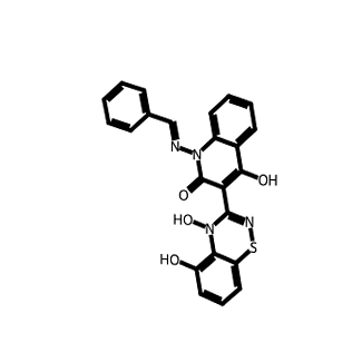 O=c1c(C2=NSc3cccc(O)c3N2O)c(O)c2ccccc2n1N=Cc1ccccc1